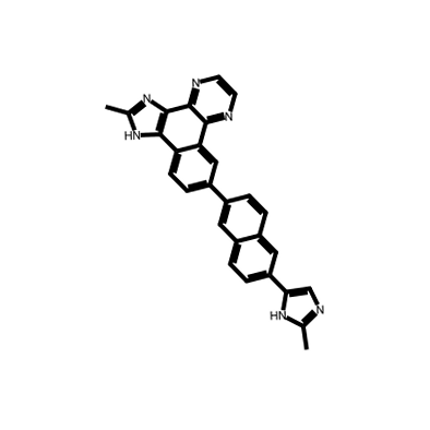 Cc1ncc(-c2ccc3cc(-c4ccc5c(c4)c4nccnc4c4nc(C)[nH]c54)ccc3c2)[nH]1